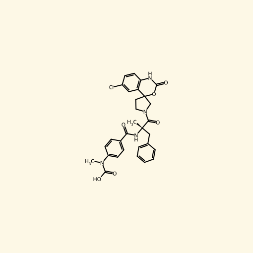 CN(C(=O)O)c1ccc(C(=O)N[C@@](C)(Cc2ccccc2)C(=O)N2CCC3(C2)OC(=O)Nc2ccc(Cl)cc23)cc1